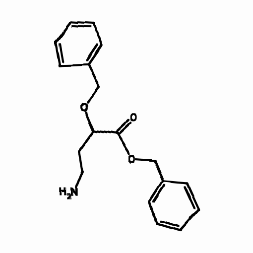 NCCC(OCc1ccccc1)C(=O)OCc1ccccc1